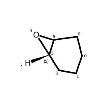 C1CC[C@@H]2OC2C1